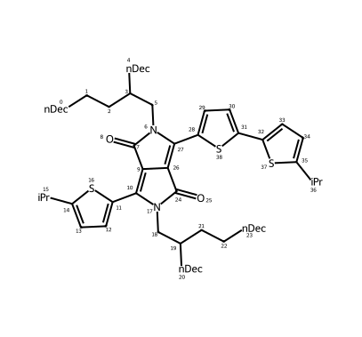 CCCCCCCCCCCCC(CCCCCCCCCC)CN1C(=O)C2=C(c3ccc(C(C)C)s3)N(CC(CCCCCCCCCC)CCCCCCCCCCCC)C(=O)C2=C1c1ccc(-c2ccc(C(C)C)s2)s1